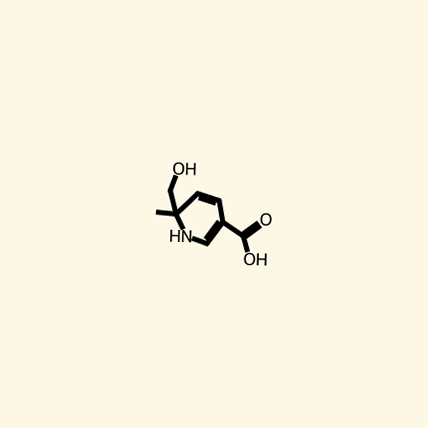 CC1(CO)C=CC(C(=O)O)=CN1